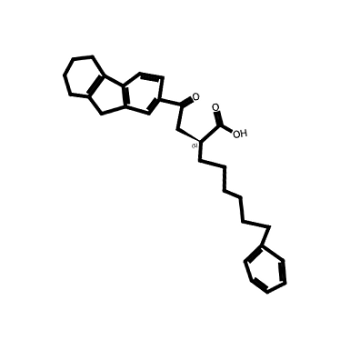 O=C(C[C@H](CCCCCCc1ccccc1)C(=O)O)c1ccc2c(c1)CC1=C2CCCC1